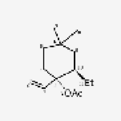 C=C[C@@]1(OC(C)=O)CCC(C)(C)C[C@H]1CC